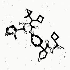 C[C@@H](NC(=O)C1(c2ccc(NC(=O)[C@@H](NC(=O)c3ccnn3C)C(C3CCC3)C3(C)CC3)cc2)CCOC1)C1CCC1